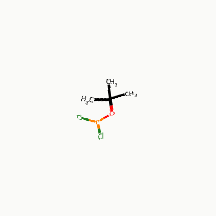 CC(C)(C)OP(Cl)Cl